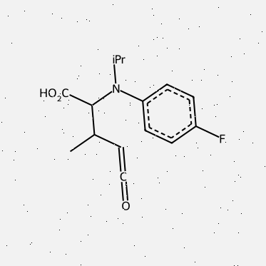 CC(C=C=O)C(C(=O)O)N(c1ccc(F)cc1)C(C)C